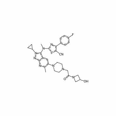 Cc1nc2nn(C3CC3)c(N(C)c3nc(-c4ccc(F)cc4)c(C#N)s3)c2cc1N1CCN(CC(=O)N2CC(O)C2)CC1